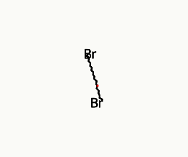 BrCCCCCCCCCCCCCCCCCCCCBr